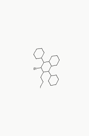 CCC1C(CCI)C(C2CCCCC2)C2CCCCC2C1C1CCCCC1